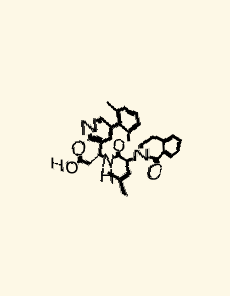 Cc1cccc(C)c1-c1cncc([C@H](CC(=O)O)NC(=O)C(CC(C)C)N2CCc3ccccc3C2=O)c1